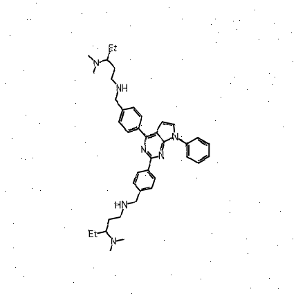 CCC(CCNCc1ccc(-c2nc(-c3ccc(CNCCC(CC)N(C)C)cc3)c3ccn(-c4ccccc4)c3n2)cc1)N(C)C